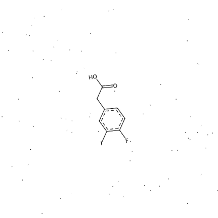 O=C(O)Cc1ccc(F)c(I)c1